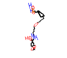 CNS(=O)(=O)C=Cc1cccc(CCCCOCCCCCCNC[C@H](O)c2ccc3c(c2)COC(C)(C)O3)c1